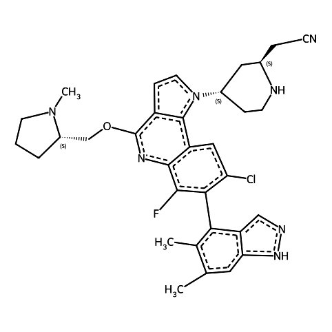 Cc1cc2[nH]ncc2c(-c2c(Cl)cc3c(nc(OC[C@@H]4CCCN4C)c4ccn([C@H]5CCN[C@H](CC#N)C5)c43)c2F)c1C